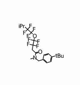 CC(C)C(F)(F)C(F)(F)OC(F)(F)C(F)(F)CC(=O)N(C)Cc1ccc(C(C)(C)C)cc1